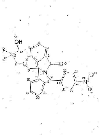 O=C1c2ccccc2C(COCC2(CO)CC2)(c2ccccc2)N1Cc1ccc([N+](=O)[O-])cc1